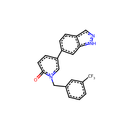 O=c1ccc(-c2ccc3cn[nH]c3c2)cn1Cc1cccc(C(F)(F)F)c1